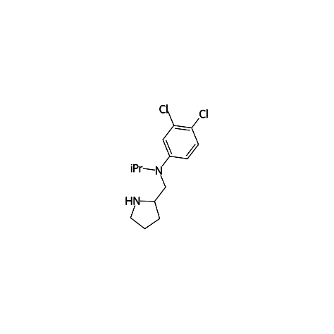 CC(C)N(CC1CCCN1)c1ccc(Cl)c(Cl)c1